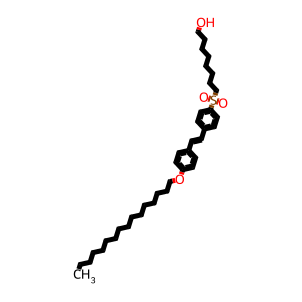 CCCCCCCCCCCCCCCCOc1ccc(C=Cc2ccc(S(=O)(=O)CCCCCCCCO)cc2)cc1